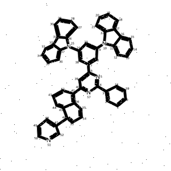 c1ccc(-c2nc(-c3cc(-n4c5ccccc5c5ccccc54)cc(-n4c5ccccc5c5ccccc54)c3)cc(-c3cccc4c(-c5cccnc5)cccc34)n2)cc1